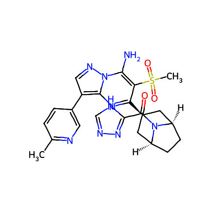 Cc1ccc(-c2cnn3c(N)c(S(C)(=O)=O)c([C@H]4C[C@H]5CC[C@@H](C4)N5C(=O)c4nnc[nH]4)nc23)cn1